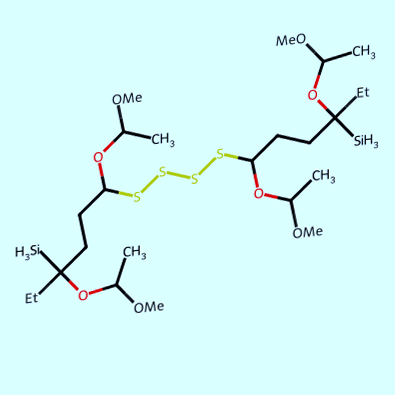 CCC([SiH3])(CCC(OC(C)OC)SSSSC(CCC([SiH3])(CC)OC(C)OC)OC(C)OC)OC(C)OC